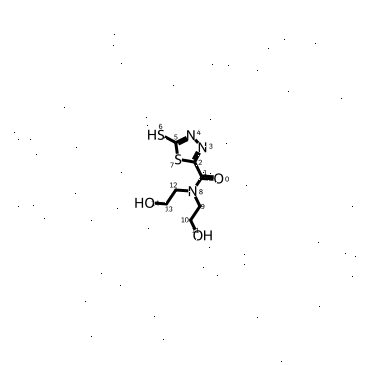 O=C(c1nnc(S)s1)N(CCO)CCO